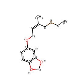 CC(=CCOc1ccc2c(c1)OCO2)CSCC(C)C